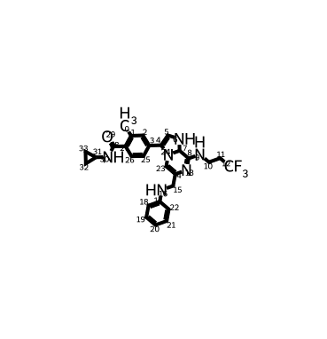 Cc1cc(C2=CNC3C(NCCC(F)(F)F)=NC(CNc4ccccc4)=CN23)ccc1C(=O)NC1CC1